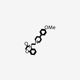 COc1ccc(C2CCN(CCN3C(=O)COc4ccccc43)CC2)cc1